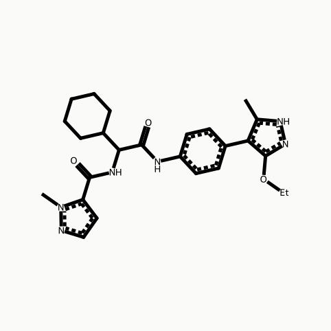 CCOc1n[nH]c(C)c1-c1ccc(NC(=O)C(NC(=O)c2ccnn2C)C2CCCCC2)cc1